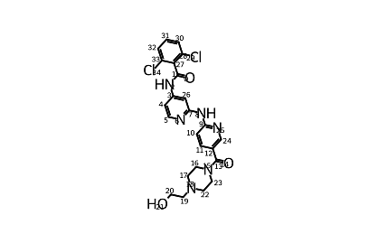 O=C(Nc1ccnc(Nc2ccc(C(=O)N3CCN(CCO)CC3)cn2)c1)c1c(Cl)cccc1Cl